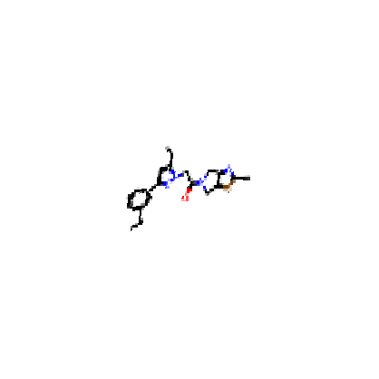 CCc1cccc(-c2cc(CC)n(CC(=O)N3Cc4nc(C)sc4C3)n2)c1